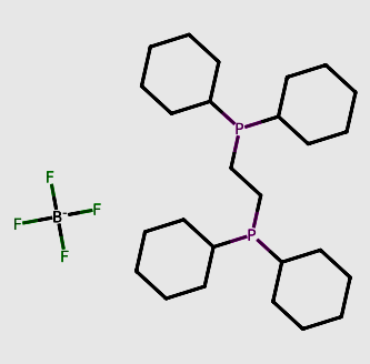 C1CCC(P(CCP(C2CCCCC2)C2CCCCC2)C2CCCCC2)CC1.F[B-](F)(F)F